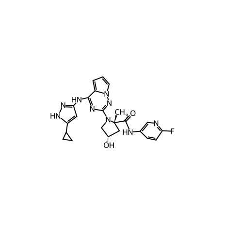 C[C@@]1(C(=O)Nc2ccc(F)nc2)C[C@H](O)CN1c1nc(Nc2cc(C3CC3)[nH]n2)c2cccn2n1